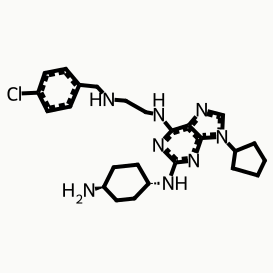 N[C@H]1CC[C@H](Nc2nc(NCCNCc3ccc(Cl)cc3)c3ncn(C4CCCC4)c3n2)CC1